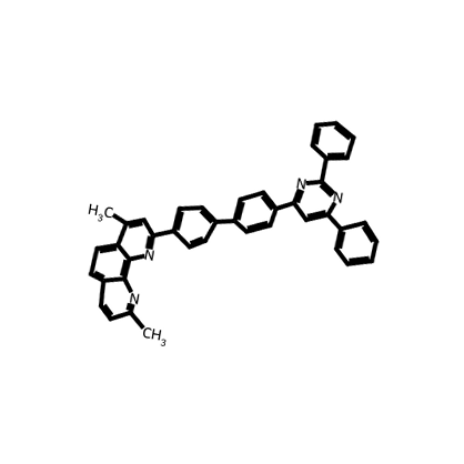 Cc1ccc2ccc3c(C)cc(-c4ccc(-c5ccc(-c6cc(-c7ccccc7)nc(-c7ccccc7)n6)cc5)cc4)nc3c2n1